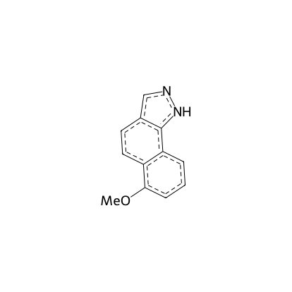 COc1cccc2c1ccc1cn[nH]c12